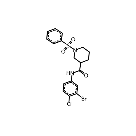 O=C(Nc1ccc(Cl)c(Br)c1)C1CCCN(S(=O)(=O)c2ccccc2)C1